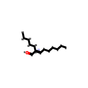 CCCCCC/C=C(/C=O)CCCCC